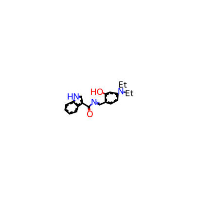 CCN(CC)c1ccc(/C=N/C(=O)c2c[nH]c3ccccc23)c(O)c1